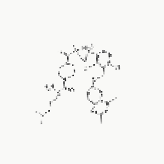 Cc1cc(C)c2cc(OCc3c(Cl)ccc(S(=O)(=O)NC(C)(C)C(=O)N4CCN(C(=O)[C@@H](N)CCCN(C)C)CC4)c3Cl)ccc2n1